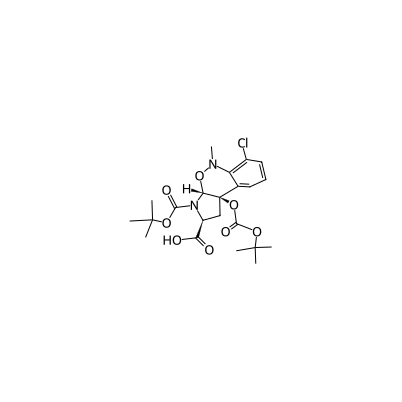 CN1O[C@H]2N(C(=O)OC(C)(C)C)[C@H](C(=O)O)C[C@@]2(OC(=O)OC(C)(C)C)c2cccc(Cl)c21